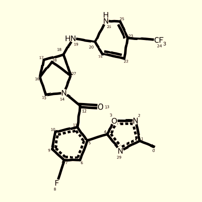 Cc1noc(-c2cc(F)ccc2C(=O)N2CC3CC(NC4C=CC(C(F)(F)F)=CN4)C2C3)n1